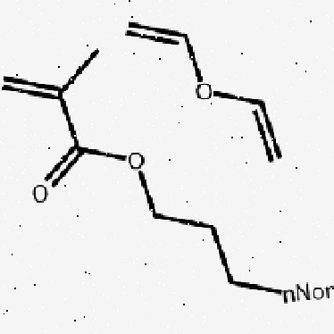 C=C(C)C(=O)OCCCCCCCCCCCC.C=COC=C